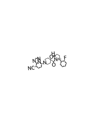 N#Cc1ccc(N2CCC3(CC2)O[C@@H]2CC[C@@H](c4ccccc4F)N2C3=O)n2ncnc12